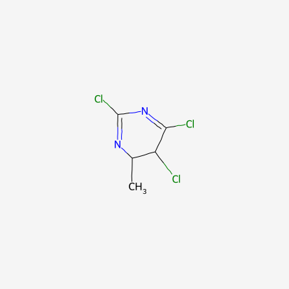 CC1N=C(Cl)N=C(Cl)C1Cl